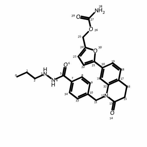 CCCNNC(=O)c1ccc(CN2C(=O)CCc3ccc(-c4ccc(COC(N)=O)o4)cc32)cc1